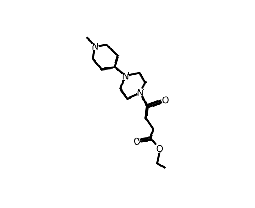 CCOC(=O)CCC(=O)N1CCN(C2CCN(C)CC2)CC1